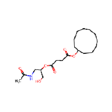 CC(=O)NCC(CO)OC(=O)CCC(=O)OC1CCCCCCCCCC1